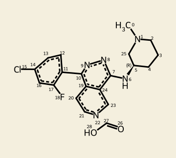 CN1CCC[C@@H](Nc2nnc(-c3ccc(Cl)cc3F)c3ccncc23)C1.O=CO